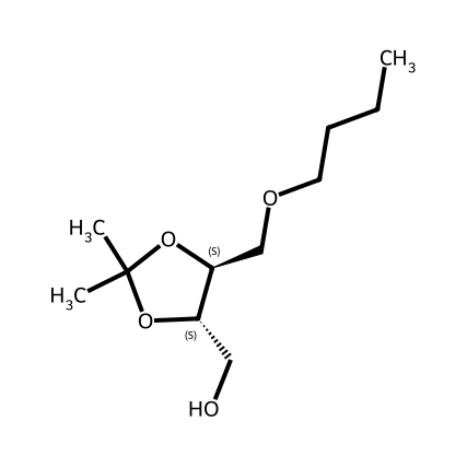 CCCCOC[C@@H]1OC(C)(C)O[C@H]1CO